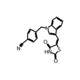 N#Cc1ccc(Cn2cc(C=C3SC(=O)NC3=O)c3ccccc32)cc1